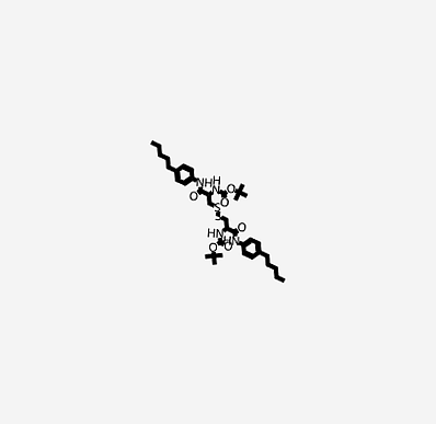 CCCCCc1ccc(NC(=O)C(CSSCC(NC(=O)OC(C)(C)C)C(=O)Nc2ccc(CCCCC)cc2)NC(=O)OC(C)(C)C)cc1